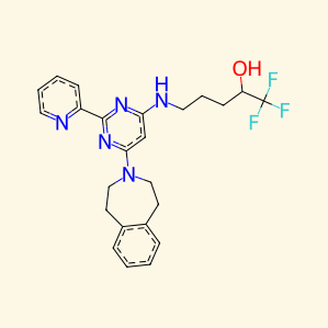 OC(CCCNc1cc(N2CCc3ccccc3CC2)nc(-c2ccccn2)n1)C(F)(F)F